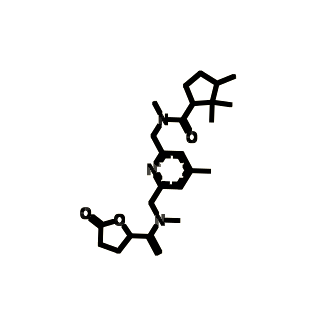 C=C(C1CCC(=O)O1)N(C)Cc1cc(C)cc(CN(C)C(=O)C2CCC(C)C2(C)C)n1